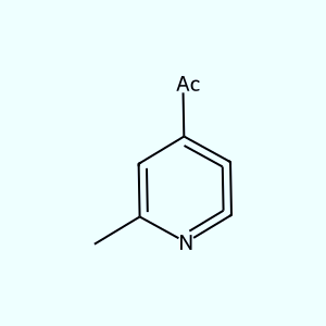 CC(=O)C1=C=C=NC(C)=C1